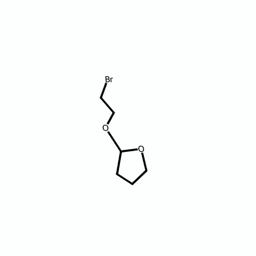 BrCCOC1CCCO1